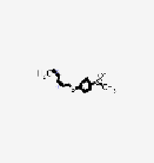 C/C=C\C=C/CSc1ccc([S+](C)[O-])cc1